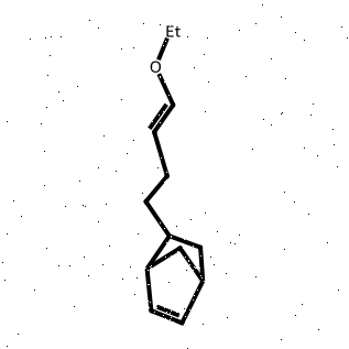 CCO/C=C/CCC1CC2C=CC1C2